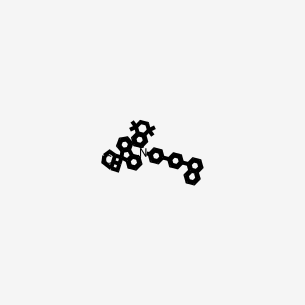 CC1(C)CCC(C)(C)c2cc(N(c3ccc(-c4ccc(-c5cccc6ccccc56)cc4)cc3)c3cccc4c3-c3ccccc3C43C4CC5CC6CC3C64C5)ccc21